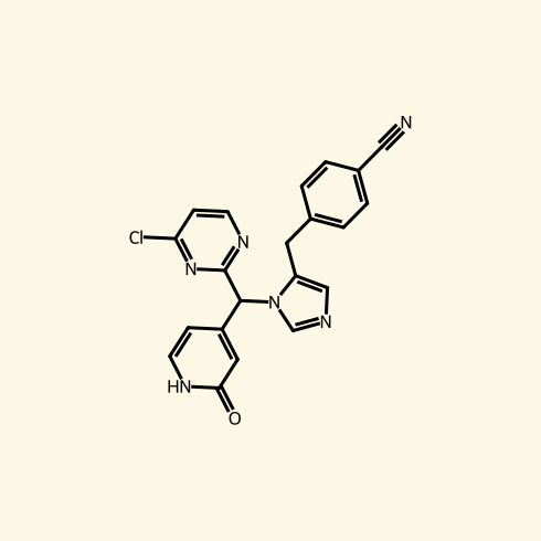 N#Cc1ccc(Cc2cncn2C(c2cc[nH]c(=O)c2)c2nccc(Cl)n2)cc1